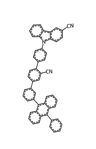 N#Cc1ccc2c(c1)c1ccccc1n2-c1ccc(-c2ccc(-c3cccc(-c4c5ccccc5c(-c5ccccc5)c5ccccc45)c3)cc2C#N)cc1